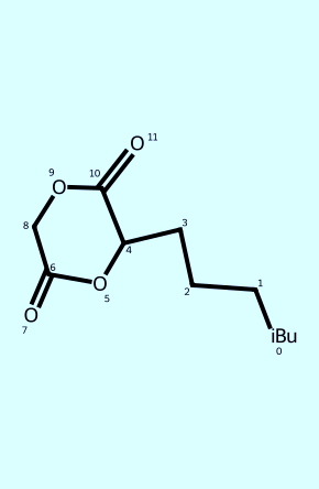 CCC(C)CCCC1OC(=O)COC1=O